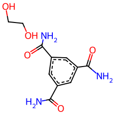 NC(=O)c1cc(C(N)=O)cc(C(N)=O)c1.OCCO